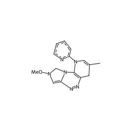 CON1C=C2N=NC3=C(N2C1)N(c1ccccn1)C=C(C)C3